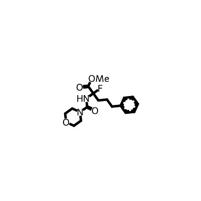 COC(=O)C(F)(CCCc1ccccc1)NC(=O)N1CCOCC1